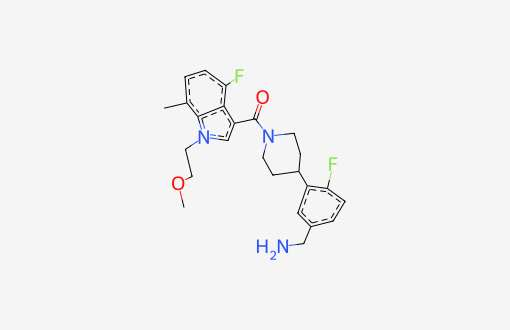 COCCn1cc(C(=O)N2CCC(c3cc(CN)ccc3F)CC2)c2c(F)ccc(C)c21